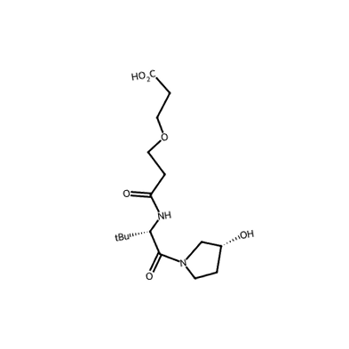 CC(C)(C)[C@H](NC(=O)CCOCCC(=O)O)C(=O)N1CC[C@@H](O)C1